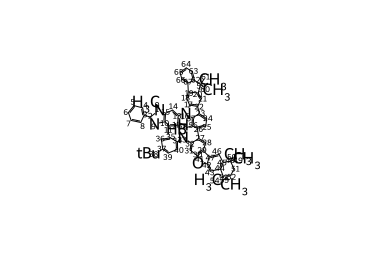 Cn1c(-c2ccccc2)nc2cc3c(cc21)-n1c2cc4c(cc2c2ccc(-c5cc6c(cc5Nc5ccc(C(C)(C)C)cc5)oc5cc7c(cc56)C(C)(C)CCC7(C)C)c(c21)B3)C(C)(C)c1ccccc1-4